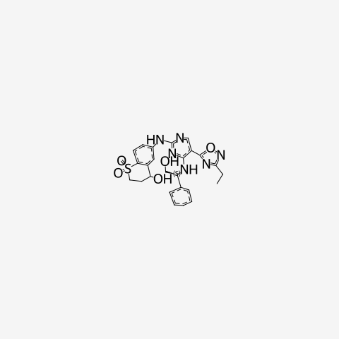 CCc1noc(-c2cnc(Nc3ccc4c(c3)C(O)CCS4(=O)=O)nc2N[C@H](CO)c2ccccc2)n1